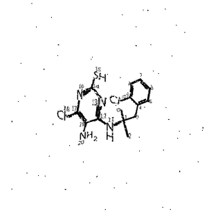 CC(C)(Cc1ccccc1Cl)Nc1nc(S)nc(Cl)c1N